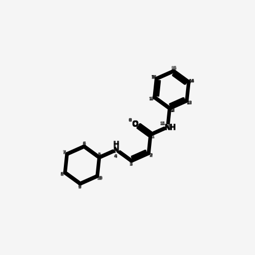 O=C(/C=C\NC1CCCCC1)Nc1ccccc1